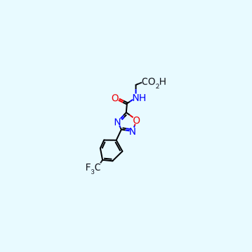 O=C(O)CNC(=O)c1nc(-c2ccc(C(F)(F)F)cc2)no1